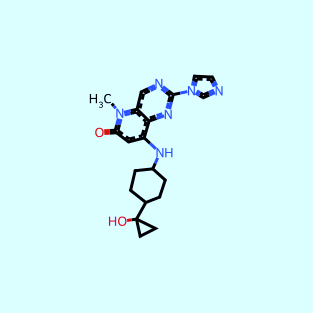 Cn1c(=O)cc(NC2CCC(C3(O)CC3)CC2)c2nc(-n3ccnc3)ncc21